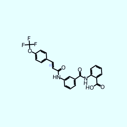 O=C(/C=C/c1ccc(OC(F)(F)F)cc1)Nc1cccc(C(=O)Nc2ccccc2C(=O)O)c1